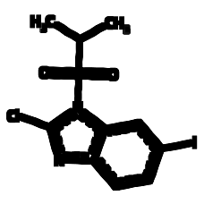 CC(C)S(=O)(=O)n1c(Cl)nc2ccc(I)cc21